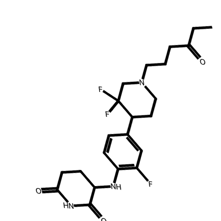 CCC(=O)CCCN1CCC(c2ccc(NC3CCC(=O)NC3=O)c(F)c2)C(F)(F)C1